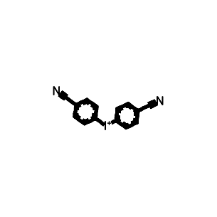 N#Cc1ccc([I+]c2ccc(C#N)cc2)cc1